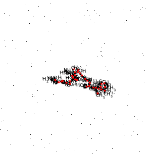 CCC(C)[C@H](NC(=O)[C@H]1CCCCN1C)C(=O)N(COC(=O)CC(C)C)[C@H](C[C@@H](OC(C)=O)c1nc(C(=O)N[C@@H](Cc2ccc(O)cc2)C[C@H](C)C(=O)NNC(=O)OCCSSC[C@H](NC(=O)[C@H](CC=O)NC(=O)[C@H](CCCNC(=N)N)NC(=O)[C@H](CC(=O)O)NC(=O)CC[C@H](NC(=O)c2ccc(NCc3cnc4nc(N)[nH]c(=O)c4n3)cc2)C(=O)O)C(=O)O)cs1)C(C)C